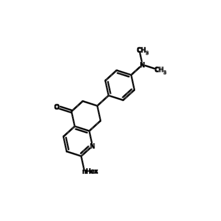 CCCCCCc1ccc2c(n1)CC(c1ccc(N(C)C)cc1)CC2=O